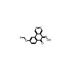 O=C1/C(=N\O)c2cnncc2-c2cc(OCF)ccc21